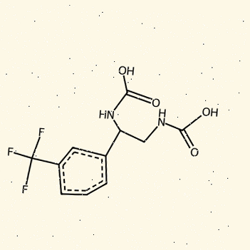 O=C(O)NCC(NC(=O)O)c1cccc(C(F)(F)F)c1